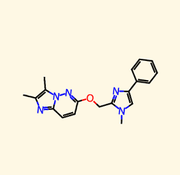 Cc1nc2ccc(OCc3nc(-c4ccccc4)cn3C)nn2c1C